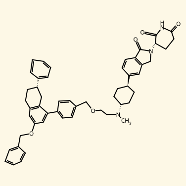 CN(CCOCc1ccc(-c2cc(OCc3ccccc3)cc3c2C[C@@H](c2ccccc2)CC3)cc1)[C@H]1CC[C@H](c2ccc3c(c2)CN([C@H]2CCC(=O)NC2=O)C3=O)CC1